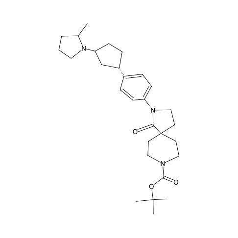 CC1CCCN1C1CC[C@H](c2ccc(N3CCC4(CCN(C(=O)OC(C)(C)C)CC4)C3=O)cc2)C1